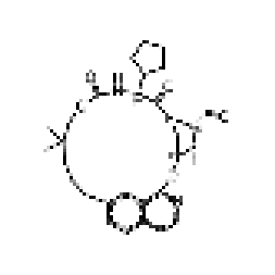 CC1(C)CCCc2ccc3ccnc(c3c2)O[C@@H]2C[C@@H](C=O)N(C2)C(=O)[C@H](C2CCCC2)NC(=O)OC1